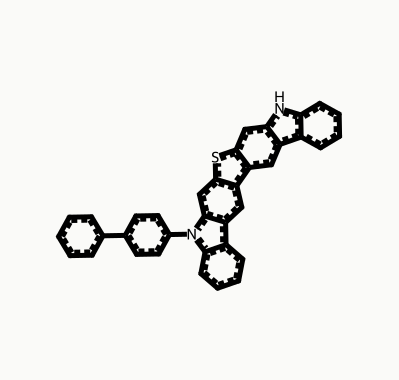 c1ccc(-c2ccc(-n3c4ccccc4c4cc5c(cc43)sc3cc4[nH]c6ccccc6c4cc35)cc2)cc1